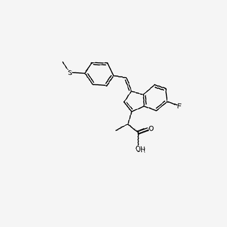 CSc1ccc(C=C2C=C(C(C)C(=O)O)c3cc(F)ccc32)cc1